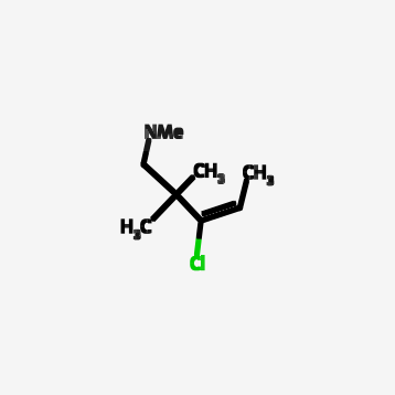 C/C=C(/Cl)C(C)(C)CNC